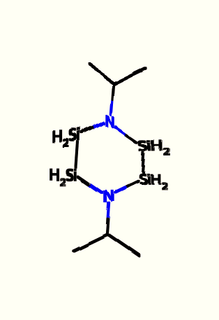 CC(C)N1[SiH2][SiH2]N(C(C)C)[SiH2][SiH2]1